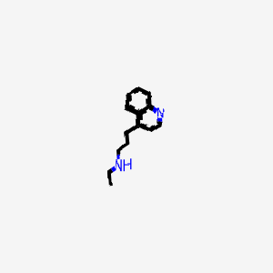 CCNCCCc1ccnc2ccccc12